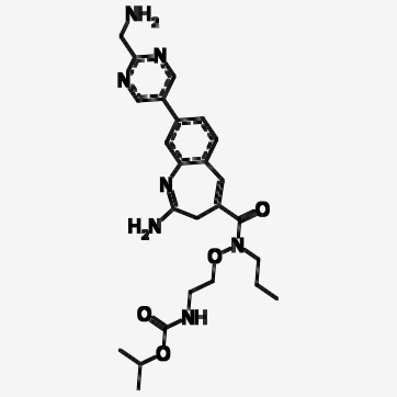 CCCN(OCCNC(=O)OC(C)C)C(=O)C1=Cc2ccc(-c3cnc(CN)nc3)cc2N=C(N)C1